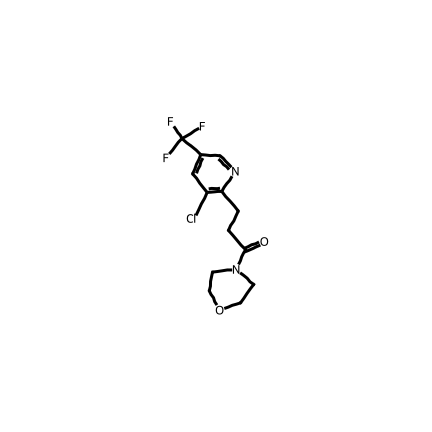 O=C(CCc1ncc(C(F)(F)F)cc1Cl)N1CCOCC1